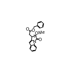 CON1C(=O)n2c(cc3ccccc32)C1CC(=O)OCc1ccccc1